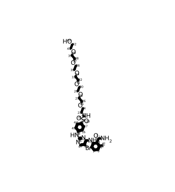 NC(=O)c1c(F)cccc1Nc1nc(Nc2ccc(S(=O)(=O)NCCOCCOCCOCCOCCOCCOCCO)cc2)ncc1Br